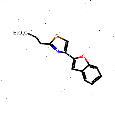 CCOC(=O)CCc1nc(-c2cc3ccccc3o2)cs1